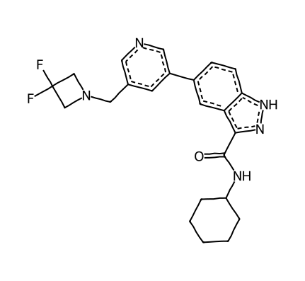 O=C(NC1CCCCC1)c1n[nH]c2ccc(-c3cncc(CN4CC(F)(F)C4)c3)cc12